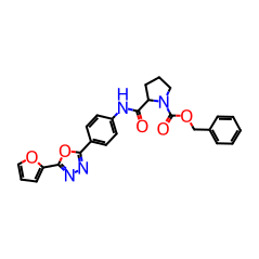 O=C(Nc1ccc(-c2nnc(-c3ccco3)o2)cc1)C1CCCN1C(=O)OCc1ccccc1